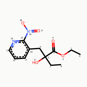 CCOC(=O)C(O)(CC)Cc1cccnc1[N+](=O)[O-]